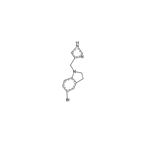 Brc1ccc2c(c1)CCN2Cc1c[nH]cn1